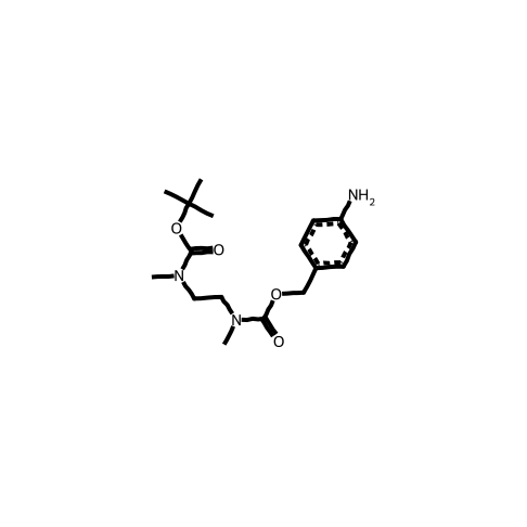 CN(CCN(C)C(=O)OC(C)(C)C)C(=O)OCc1ccc(N)cc1